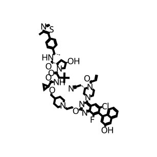 C=CC(=O)N1CCN(c2nc(OCCN3CCC(COC4(C(=O)N[C@H](C(=O)N5C[C@H](O)C[C@H]5C(=O)N[C@@H](C)c5ccc(-c6scnc6C)cc5)C(C)(C)C)CC4)CC3)nc3c(F)c(-c4cc(O)cc5ccccc45)c(Cl)cc23)C[C@@H]1CC#N